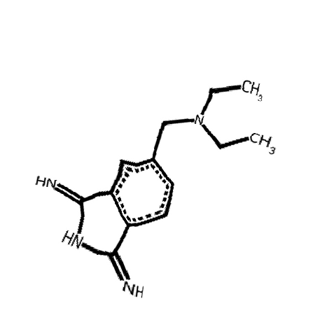 CCN(CC)Cc1ccc2c(c1)C(=N)NC2=N